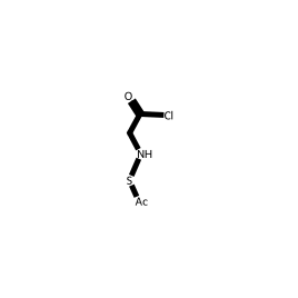 CC(=O)SNCC(=O)Cl